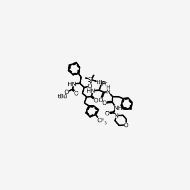 CC(C)C(NC(=O)C(Cc1ccc(C(F)(F)F)cc1)CC(O[Si](C)(C)C(C)(C)C)C(Cc1ccccc1)NC(=O)OC(C)(C)C)C(=O)NC(Cc1ccccc1)C(=O)NC(=O)N1CCOCC1